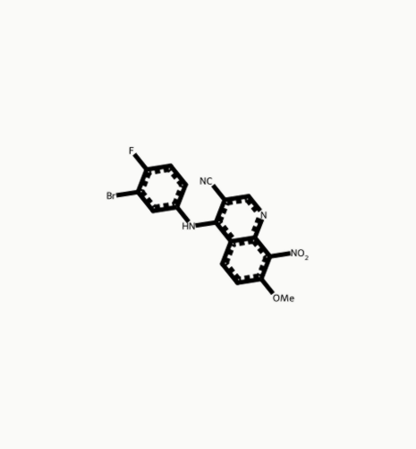 COc1ccc2c(Nc3ccc(F)c(Br)c3)c(C#N)cnc2c1[N+](=O)[O-]